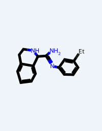 CCc1cccc(N=C(N)C2NCCc3ccccc32)c1